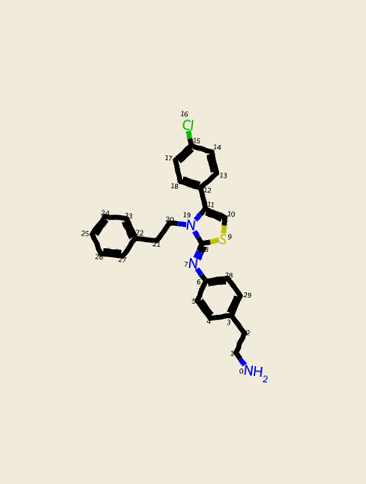 NCCc1ccc(/N=c2\scc(-c3ccc(Cl)cc3)n2CCc2ccccc2)cc1